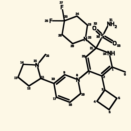 CC1=C(C2CCC2)C(N2C=C(C3CCCN3C)C=CC2)=CC(N2CCC(F)(F)CC2)(S(N)(=O)=O)N1